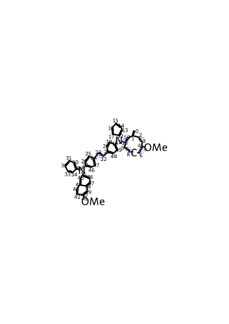 C=C1/C=C\C(OC)=C/C/C=C\C(N(c2ccccc2)c2ccc(/C=C/c3ccc(N(c4ccccc4)c4ccc5cc(OC)ccc5c4)cc3)cc2)=C/1